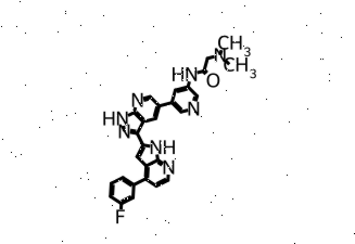 CN(C)CC(=O)Nc1cncc(-c2cnc3[nH]nc(-c4cc5c(-c6cccc(F)c6)ccnc5[nH]4)c3c2)c1